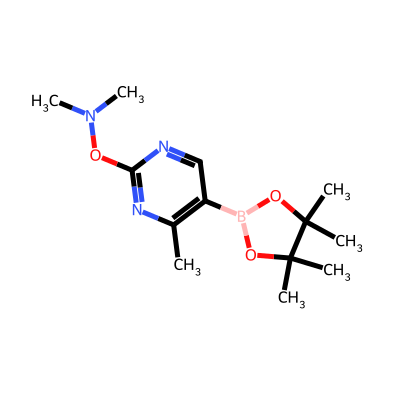 Cc1nc(ON(C)C)ncc1B1OC(C)(C)C(C)(C)O1